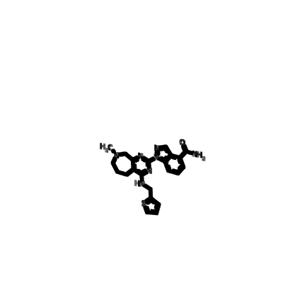 CN1CCCc2c(nc(-n3ncc4c(C(N)=O)cccc43)nc2NCc2cccs2)C1